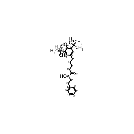 CC(C)(C)c1cc(CCCCC(=S)N(O)CCc2ccccc2)cc(C(C)(C)C)c1O